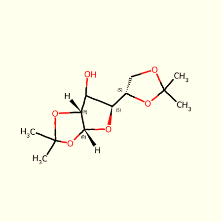 CC1(C)OC[C@@H]([C@H]2O[C@@H]3OC(C)(C)O[C@@H]3C2O)O1